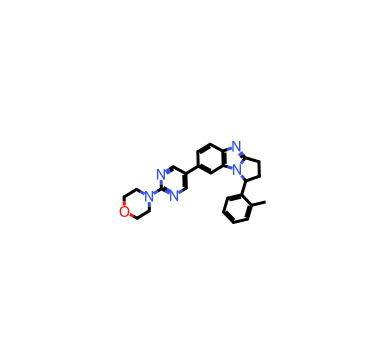 Cc1ccccc1C1CCc2nc3ccc(-c4cnc(N5CCOCC5)nc4)cc3n21